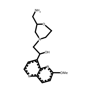 COc1ccc2nccc(C(O)CN3CCOC(CN)C3)c2n1